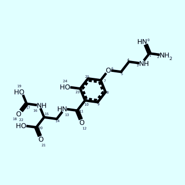 N=C(N)NCCOc1ccc(C(=O)NCC(NC(=O)O)C(=O)O)c(O)c1